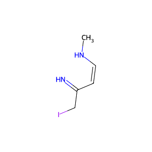 CN/C=C\C(=N)CI